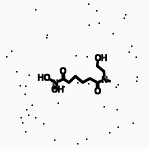 CN(CCO)C(=O)CCCCC(=O)N(O)O